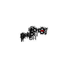 COc1ccc(CN(Cc2ccc(OC)cc2)c2cc(C)c(C(F)(F)F)c(-c3c(Cl)cc4c(O)nc(OC[C@@]56CCCN5C[C@H](F)C6)nc4c3F)c2)cc1